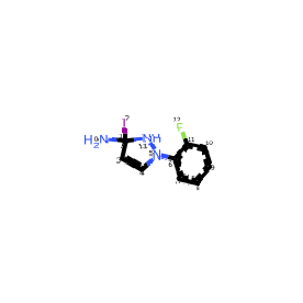 NC1(I)C=CN(c2ccccc2F)N1